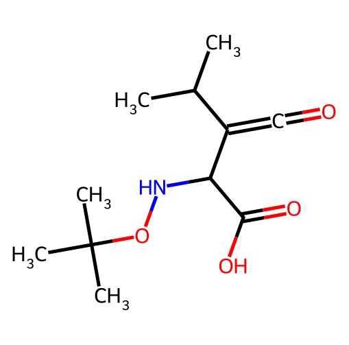 CC(C)C(=C=O)C(NOC(C)(C)C)C(=O)O